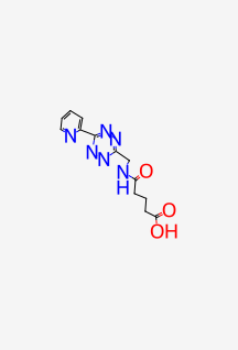 O=C(O)CCCC(=O)NCc1nnc(-c2ccccn2)nn1